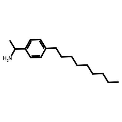 CCCCCCCCCc1ccc(C(C)N)cc1